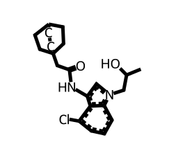 CC(O)Cn1cc(NC(=O)CC23CCC(CC2)CC3)c2c(Cl)cccc21